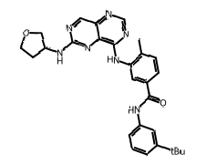 Cc1ccc(C(=O)Nc2cccc(C(C)(C)C)c2)cc1Nc1ncnc2cnc(NC3CCOC3)nc12